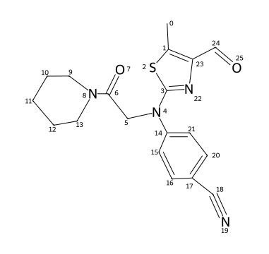 Cc1sc(N(CC(=O)N2CCCCC2)c2ccc(C#N)cc2)nc1C=O